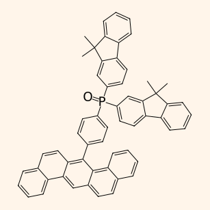 CC1(C)c2ccccc2-c2ccc(P(=O)(c3ccc(-c4c5ccc6ccccc6c5cc5ccc6ccccc6c45)cc3)c3ccc4c(c3)C(C)(C)c3ccccc3-4)cc21